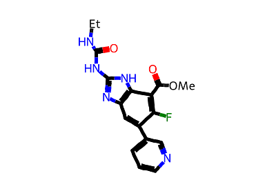 CCNC(=O)Nc1nc2cc(-c3cccnc3)c(F)c(C(=O)OC)c2[nH]1